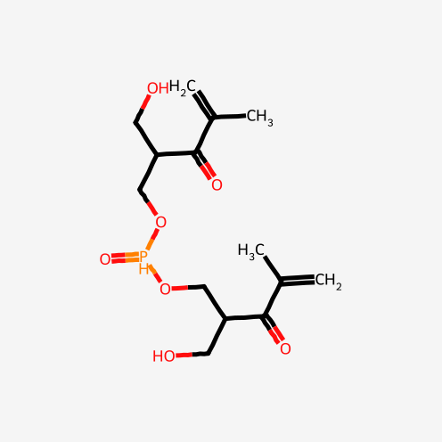 C=C(C)C(=O)C(CO)CO[PH](=O)OCC(CO)C(=O)C(=C)C